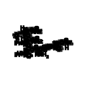 CC(C)CNc1nc2ccccc2n2c(-c3ccc(C(=O)Nc4ccccc4C(N)=O)cc3)cnc12.CCNC(=O)c1ccc(-c2cnc3c(NCC(C)C)nc4ccccc4n23)cc1.O=C(NC1CC1)c1ccc(-c2cnc3c(NCCc4cccc(F)c4)nc4ccccc4n23)cc1.O=C(NC1CC1)c1ccc(-c2cnc3c(NCc4ccc5c(c4)OCO5)nc4ccccc4n23)cc1